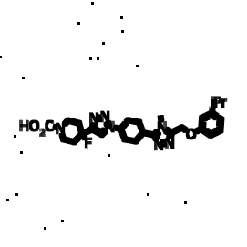 CC(C)c1cccc(OCc2nnc(C3CCC(n4cc(C5(F)CCN(C(=O)O)CC5)nn4)CC3)n2C)c1